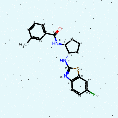 Cc1cccc(C(=O)N[C@H]2CCC[C@@H]2Nc2nc3ccc(F)cc3s2)c1